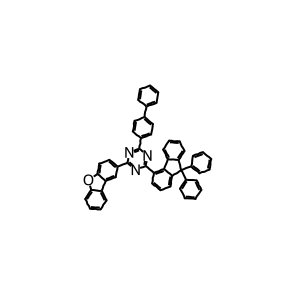 c1ccc(-c2ccc(-c3nc(-c4ccc5oc6ccccc6c5c4)nc(-c4cccc5c4-c4ccccc4C5(c4ccccc4)c4ccccc4)n3)cc2)cc1